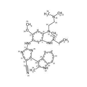 C=CC(=O)Nc1cc(Nc2ncc(C#N)c(-c3c(C)[nH]c4ccccc34)n2)c(OC)cc1N(C)CCN(C)C